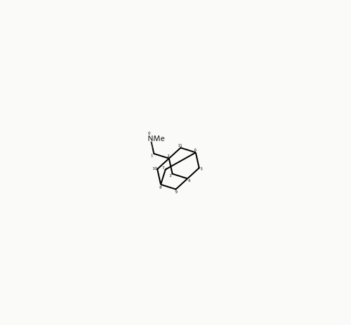 CNCC12CC3CC(CC(C3)C1)C2